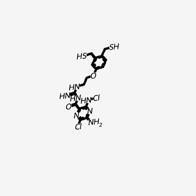 N=C(NCCOc1ccc(CS)c(CS)c1)NC(=O)c1nc(Cl)c(N)nc1NCl